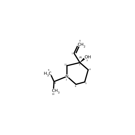 C=C[C@]1(O)CCCN(C(C)C)C1